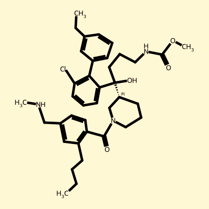 CCCCc1cc(CNC)ccc1C(=O)N1CCC[C@@H](C(O)(CCCNC(=O)OC)c2cccc(Cl)c2-c2cccc(CC)c2)C1